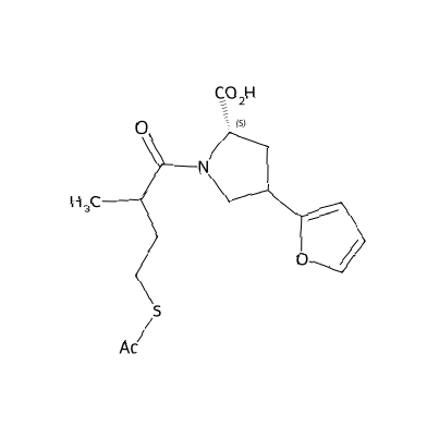 CC(=O)SCCC(C)C(=O)N1CC(c2ccco2)C[C@H]1C(=O)O